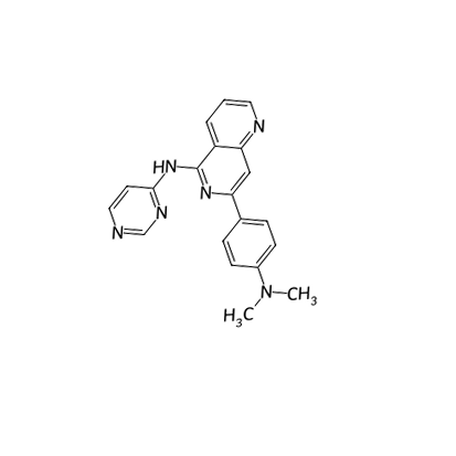 CN(C)c1ccc(-c2cc3ncccc3c(Nc3ccncn3)n2)cc1